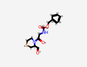 O=CC1CSCCN1C(=O)CNC(=O)OCc1ccccc1